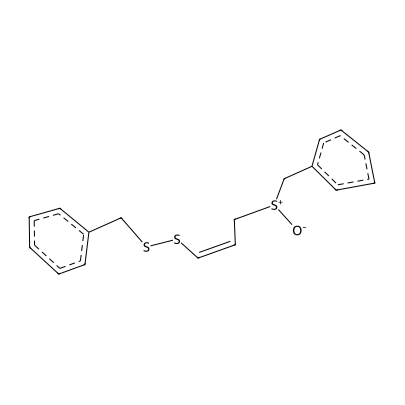 [O-][S+](C/C=C\SSCc1ccccc1)Cc1ccccc1